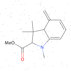 C=C1C=CC=C2C1C(C)(C)C(C(=O)OC)N2C